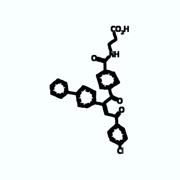 O=C(O)CCNC(=O)c1ccc(C(=O)/C(=C\C(=O)c2ccc(Cl)cc2)c2ccc(-c3ccccc3)cc2)cc1